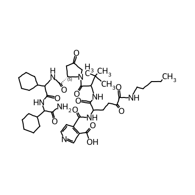 CCCCCNC(=O)C(=O)CCC(NC(=O)c1ccncc1C(=O)O)C(=O)NC(C(=O)N1CC(=O)C[C@H]1C(=O)NC(C(=O)NC(C(N)=O)C1CCCCC1)C1CCCCC1)C(C)(C)C